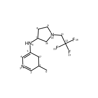 CC1C=NC=C(NC2CCN(CC(F)(F)F)C2)C1